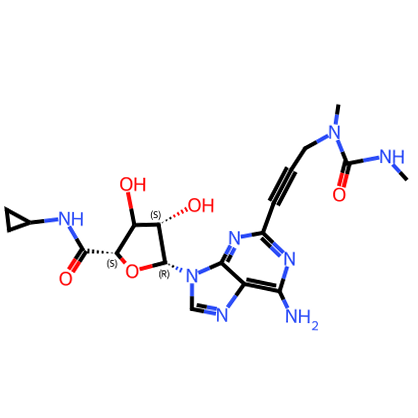 CNC(=O)N(C)CC#Cc1nc(N)c2ncn([C@@H]3O[C@H](C(=O)NC4CC4)C(O)[C@@H]3O)c2n1